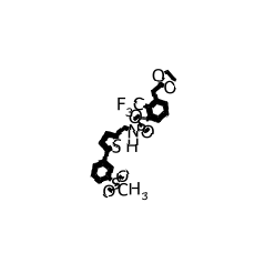 CS(=O)(=O)c1cccc(-c2ccc(CNS(=O)(=O)c3cccc(CC4OCCO4)c3C(F)(F)F)s2)c1